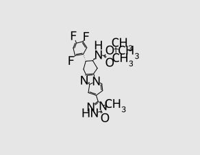 Cn1c(-c2ccn3c4c(nc3c2)C[C@H](c2cc(F)c(F)cc2F)[C@@H](NC(=O)OC(C)(C)C)C4)n[nH]c1=O